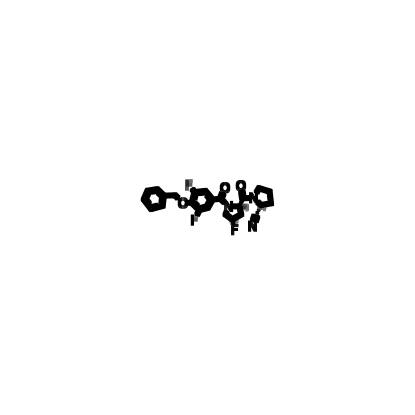 N#C[C@H]1CCCN1C(=O)[C@H]1C[C@@H](F)CN1C(=O)c1cc(F)c(OCc2ccccc2)c(F)c1